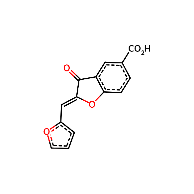 O=C(O)c1ccc2c(c1)C(=O)C(=Cc1ccco1)O2